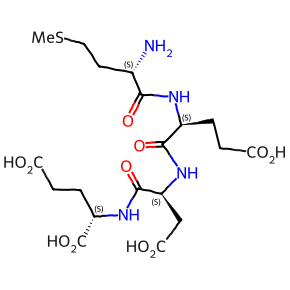 CSCC[C@H](N)C(=O)N[C@@H](CCC(=O)O)C(=O)N[C@@H](CC(=O)O)C(=O)N[C@@H](CCC(=O)O)C(=O)O